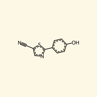 N#Cc1cnc(-c2ccc(O)cc2)s1